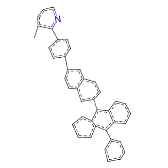 Cc1cccnc1-c1ccc(-c2ccc3cc(-c4c5ccccc5c(-c5ccccc5)c5ccccc45)ccc3c2)cc1